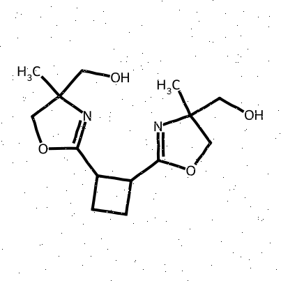 CC1(CO)COC(C2CCC2C2=NC(C)(CO)CO2)=N1